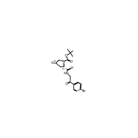 CC(C)(C)OC(=O)N1C[C@H](F)C[C@H]1C(=O)NCC(=O)c1ccc(Br)cc1